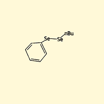 CCCC[Se][Se]c1ccccc1